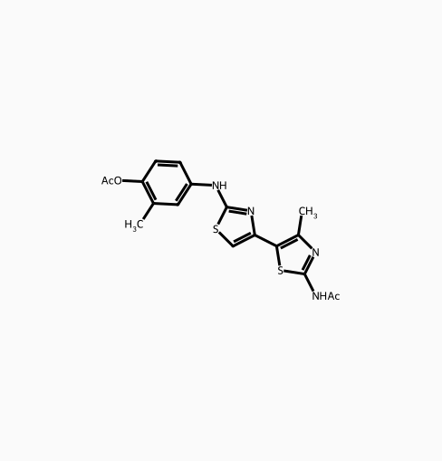 CC(=O)Nc1nc(C)c(-c2csc(Nc3ccc(OC(C)=O)c(C)c3)n2)s1